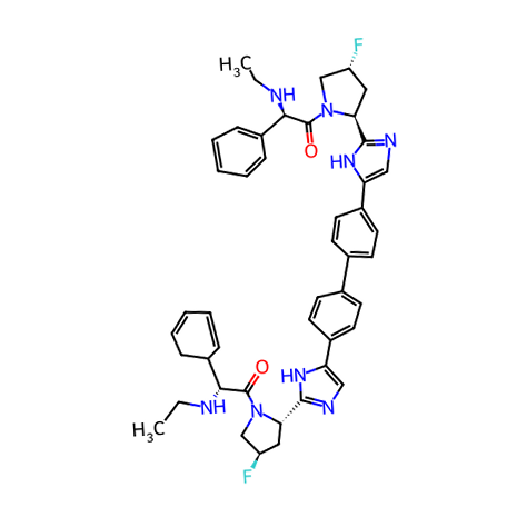 CCN[C@@H](C(=O)N1C[C@H](F)C[C@H]1c1ncc(-c2ccc(-c3ccc(-c4cnc([C@@H]5C[C@@H](F)CN5C(=O)[C@H](NCC)C5C=CC=CC5)[nH]4)cc3)cc2)[nH]1)c1ccccc1